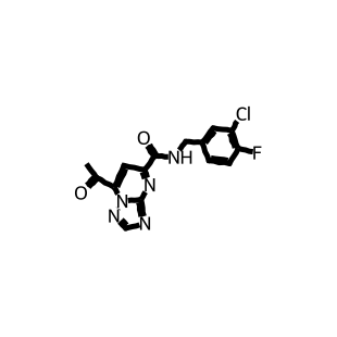 CC(=O)c1cc(C(=O)NCc2ccc(F)c(Cl)c2)nc2ncnn12